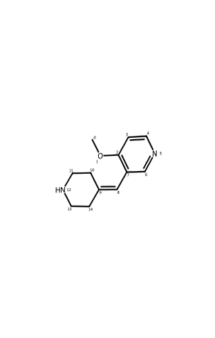 COc1ccncc1C=C1CCNCC1